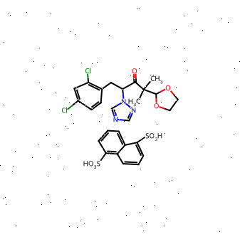 CC(C)(C(=O)C(Cc1ccc(Cl)cc1Cl)n1cncn1)C1OCCO1.O=S(=O)(O)c1cccc2c(S(=O)(=O)O)cccc12